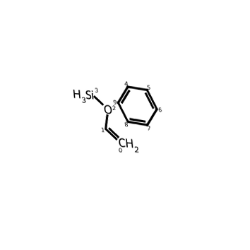 C=CO[SiH3].c1ccccc1